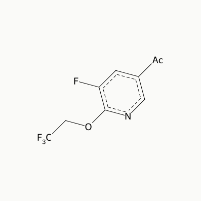 CC(=O)c1cnc(OCC(F)(F)F)c(F)c1